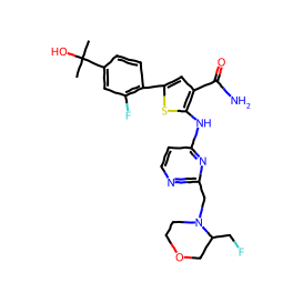 CC(C)(O)c1ccc(-c2cc(C(N)=O)c(Nc3ccnc(CN4CCOCC4CF)n3)s2)c(F)c1